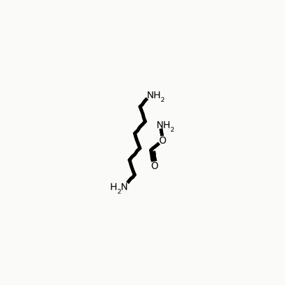 NCCCCCCN.NOC=O